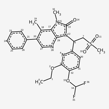 CCOc1nc(C(CS(C)(=O)=O)n2c(=O)n(C)c3c(C)c(-c4ccccc4)cnc32)ccc1OC(F)F